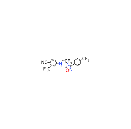 N#Cc1ccc(N(Cc2nc(-c3ccc(C(F)(F)F)cc3)no2)CC(F)(F)F)cc1C(F)(F)F